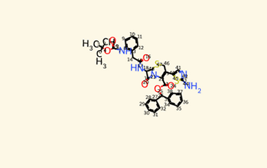 CC(C)(C)OC(=O)Nc1ccccc1CC(=O)NC1C(=O)N2C(C(=O)OC(c3ccccc3)c3ccccc3)=C(c3cnc(N)s3)CSC12